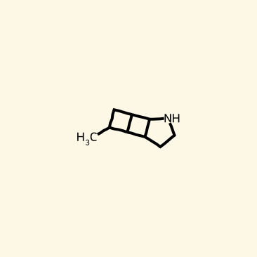 CC1CC2C3NCCC3C12